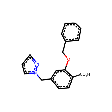 O=C(O)c1ccc(Cn2cccn2)cc1OCc1ccccc1